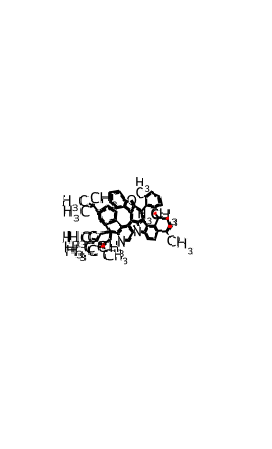 Cc1cccc(C)c1-c1c2oc3ccccc3c2c2c3c4c(ncc3n3c5ccc6c(c5c1c23)C1(C)CCC6(C)CC1)C(CC(C)(C)C)(CC(C)(C)C)c1cc(C(C)(C)C)ccc1-4